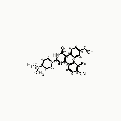 CN(C)C1CCN(c2nc(-c3ccc(C#N)c(F)c3)c(-c3ccc(CO)cc3)c(=O)[nH]2)CC1